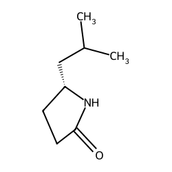 CC(C)C[C@H]1CCC(=O)N1